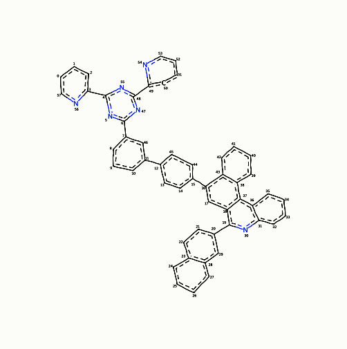 c1ccc(-c2nc(-c3cccc(-c4ccc(-c5cc6c(-c7ccc8ccccc8c7)nc7ccccc7c6c6ccccc56)cc4)c3)nc(-c3ccccn3)n2)nc1